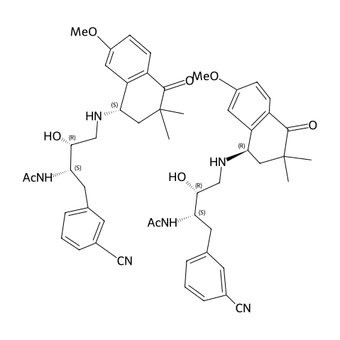 COc1ccc2c(c1)[C@@H](NC[C@@H](O)[C@H](Cc1cccc(C#N)c1)NC(C)=O)CC(C)(C)C2=O.COc1ccc2c(c1)[C@H](NC[C@@H](O)[C@H](Cc1cccc(C#N)c1)NC(C)=O)CC(C)(C)C2=O